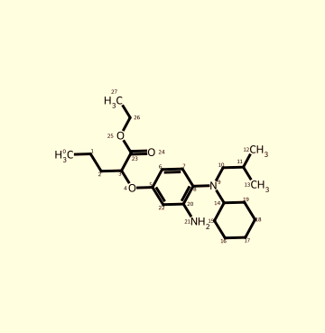 CCCC(Oc1ccc(N(CC(C)C)C2CCCCC2)c(N)c1)C(=O)OCC